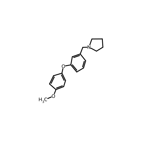 COc1ccc(Oc2cccc(CN3CCCC3)c2)cc1